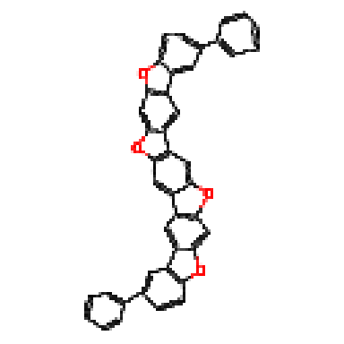 c1ccc(-c2ccc3oc4cc5oc6cc7c(cc6c5cc4c3c2)oc2cc3oc4ccc(-c5ccccc5)cc4c3cc27)cc1